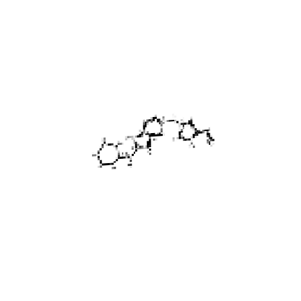 O=Cc1cn(Cc2ccc3nc(NC4CCCCC4)sc3c2)cn1